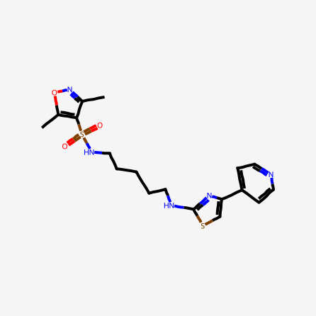 Cc1noc(C)c1S(=O)(=O)NCCCCCNc1nc(-c2ccncc2)cs1